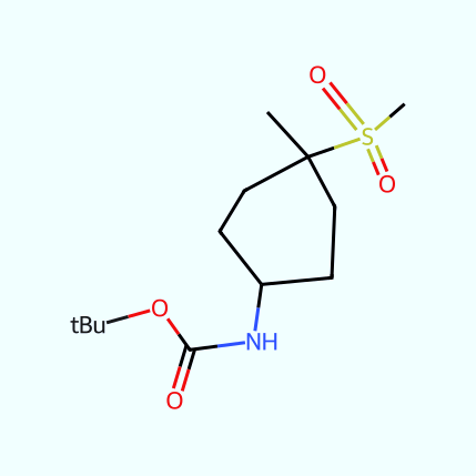 CC(C)(C)OC(=O)NC1CCC(C)(S(C)(=O)=O)CC1